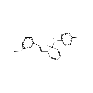 COc1cccc(/C=C/C2C=CC=CC2(C)[S+]([O-])c2ccc(C)cc2)c1